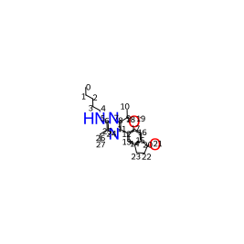 CCCCCNc1nc(CC)c(-c2cc3c(cc2OC)C(=O)CC3)nc1CC